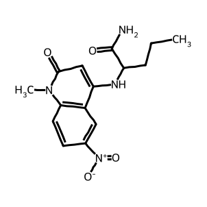 CCCC(Nc1cc(=O)n(C)c2ccc([N+](=O)[O-])cc12)C(N)=O